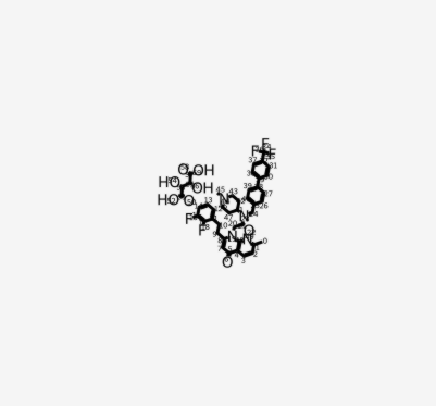 Cc1ccc2c(=O)cc(CCc3cccc(F)c3F)n(CC(=O)N(Cc3ccc(-c4ccc(C(F)(F)F)cc4)cc3)C3CCN(C)CC3)c2n1.O=C(O)C(O)C(O)C(=O)O